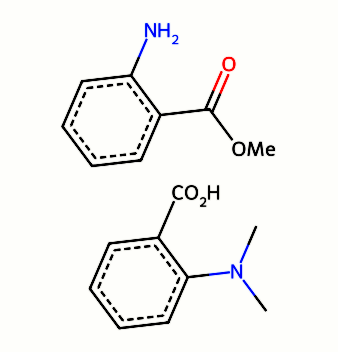 CN(C)c1ccccc1C(=O)O.COC(=O)c1ccccc1N